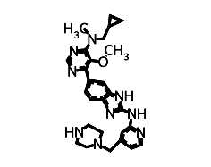 COc1c(-c2ccc3nc(Nc4cc(CN5CCNCC5)ccn4)[nH]c3c2)ncnc1N(C)CC1CC1